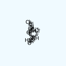 CN(C(=O)[C@@H]1CC2=CC=CCC(=C2)CCCC2=C(CCC(=O)N1)Cc1[nH]c(=O)ccc1N2)c1ccc(Cl)cc1